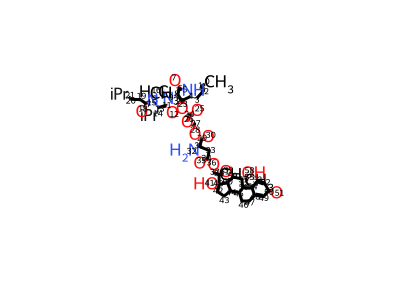 C/C=C/C[C@H]1NC(=O)[C@@H](N(C)C(=O)[C@H](C(C)C)N(C)C(=O)CCC(C)C)[C@@H]1OC(=O)OCOC(=O)[C@@H](N)CC(=O)OCC(=O)[C@@]1(O)CCC2C3CCC4=CC(=O)C=C[C@]4(C)C3[C@@H](O)C[C@@]21C